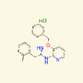 Cc1ccccc1CC(=N)Nc1ncccc1OCc1ccccc1.Cl